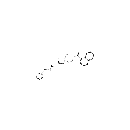 O=C(NCc1cccs1)OC1=NOC2(CCN(C(=O)c3cccc4ccccc34)CC2)C1